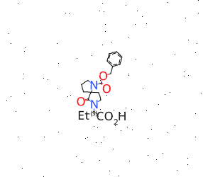 CC[C@@H](C(=O)O)N1CCC2(CCCN2C(=O)OCc2ccccc2)C1=O